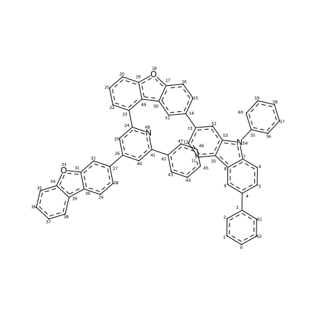 c1ccc(-c2ccc3c(c2)c2ccc(-c4ccc5oc6cccc(-c7cc(-c8ccc9c(c8)oc8ccccc89)cc(-c8ccccc8)n7)c6c5c4)cc2n3-c2ccccc2)cc1